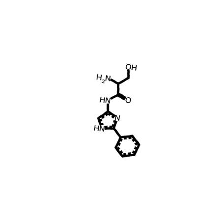 NC(CO)C(=O)Nc1c[nH]c(-c2ccccc2)n1